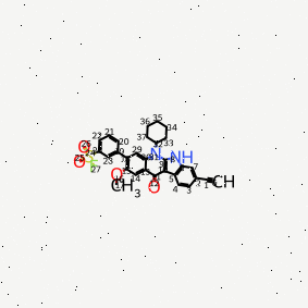 C#Cc1ccc2c(c1)[nH]c1c2c(=O)c2cc(OC)c(-c3cccc(S(=O)(=O)F)c3)cc2n1C1CCCCC1